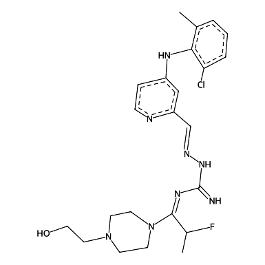 Cc1cccc(Cl)c1Nc1ccnc(/C=N/NC(=N)/N=C(\C(C)F)N2CCN(CCO)CC2)c1